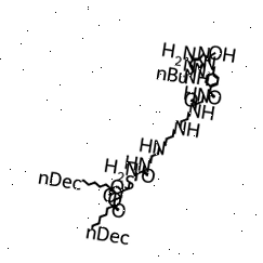 CCCCCCCCCCCCCCCC(=O)OCC(CSC[C@H](N)C(=O)NCCCNCCCCNCCCNC(=O)CNC(=O)c1ccc(Cn2c(O)nc3c(N)nc(NCCCC)nc32)cc1)OC(=O)CCCCCCCCCCCCCCC